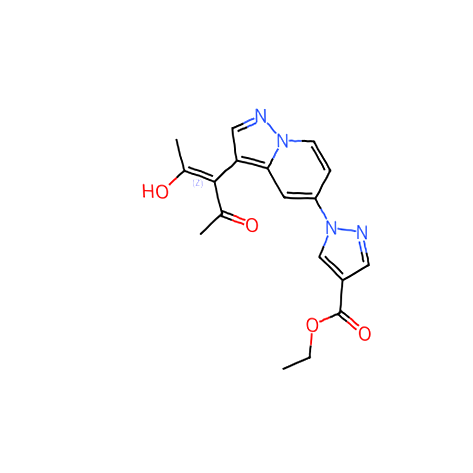 CCOC(=O)c1cnn(-c2ccn3ncc(/C(C(C)=O)=C(\C)O)c3c2)c1